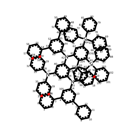 c1ccc(-c2cc(-c3ccccc3)cc(N3c4ccccc4B4c5c3cc(N(c3ccccc3)c3ccccc3)cc5N(c3cc(-c5ccccc5)cc(-c5ccccc5)c3)c3cc([Si](c5ccccc5)(c5ccccc5)c5ccccc5)cc([Si](c5ccccc5)(c5ccccc5)c5ccccc5)c34)c2)cc1